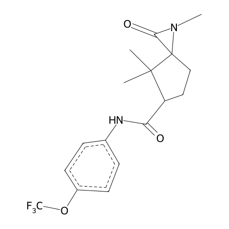 CN1C(=O)C12CCC(C(=O)Nc1ccc(OC(F)(F)F)cc1)C2(C)C